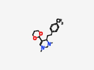 CN1C=C(C2OCCCO2)C(CCc2ccc(C(F)(F)F)cc2)N(C)C1